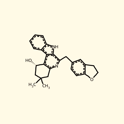 CC1(C)Cc2nc(Cc3ccc4c(c3)CCO4)c3[nH]c4ccccc4c3c2[C@@H](O)C1